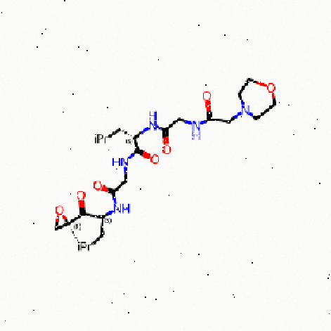 CC(C)C[C@H](NC(=O)CNC(=O)CN1CCOCC1)C(=O)NCC(=O)N[C@@H](CC(C)C)C(=O)[C@@]1(C)CO1